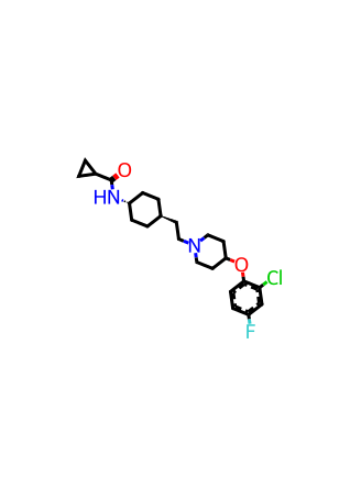 O=C(N[C@H]1CC[C@H](CCN2CCC(Oc3ccc(F)cc3Cl)CC2)CC1)C1CC1